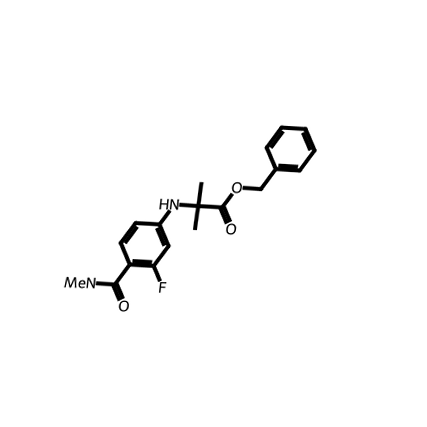 CNC(=O)c1ccc(NC(C)(C)C(=O)OCc2ccccc2)cc1F